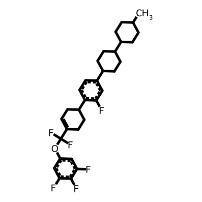 CC1CCC(C2CCC(c3ccc(C4CC=C(C(F)(F)Oc5cc(F)c(F)c(F)c5)CC4)c(F)c3)CC2)CC1